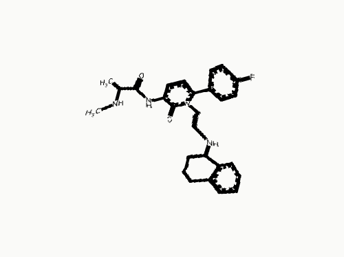 CNC(C)C(=O)Nc1ccc(-c2ccc(F)cc2)n(CCNC2CCCc3ccccc32)c1=O